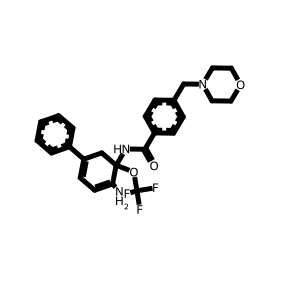 NC1=CC=C(c2ccccc2)CC1(NC(=O)c1ccc(CN2CCOCC2)cc1)OC(F)(F)F